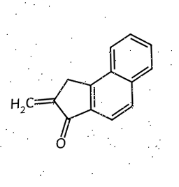 C=C1Cc2c(ccc3ccccc23)C1=O